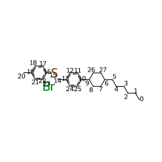 CCCCCCC1CCC(c2ccc(CSc3ccc(C)cc3Br)cc2)CC1